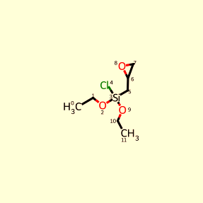 CCO[Si](Cl)(CC1CO1)OCC